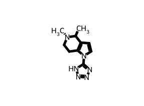 CC1c2ccn(-c3nnn[nH]3)c2CCN1C